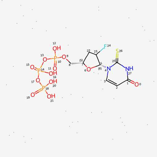 O=c1ccn([C@@H]2O[C@H](COP(=O)(O)OP(=O)(O)OP(=O)(O)O)CC2F)c(=S)[nH]1